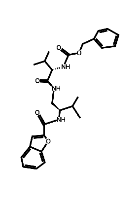 CC(C)[C@H](CNC(=O)[C@@H](NC(=O)OCc1ccccc1)C(C)C)NC(=O)c1cc2ccccc2o1